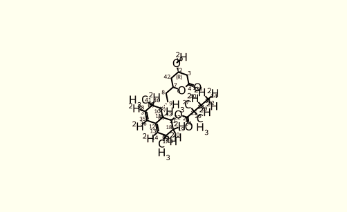 [2H]O[C@H]1CC(=O)OC(CC[C@@H]2[C@@H]3C(=C([2H])[C@]([2H])(C)C([2H])([2H])C3OC(=O)C(C)(C)C([2H])([2H])C([2H])([2H])[2H])C([2H])=C([2H])[C@]2([2H])C)C1